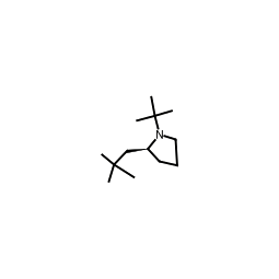 CC(C)(C)C[C@@H]1CCCN1C(C)(C)C